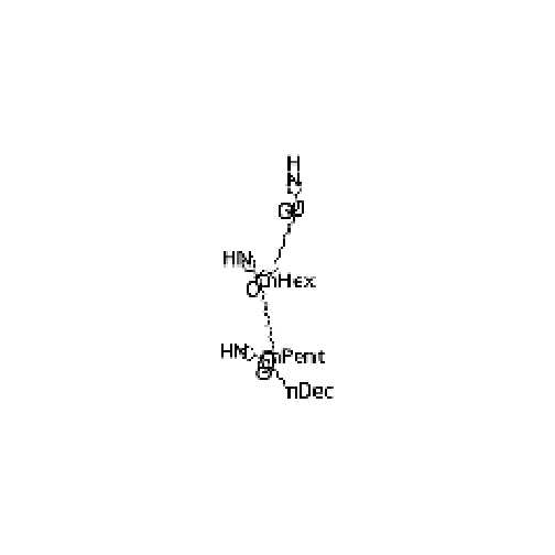 CCCCCCCCCCCCCCC(=O)OC(C)(CC(CCCCC)CCCCCCCCCC(=O)OC(C)(CC(CCCCCC)CCCCCCCCCC(=O)OC(C)(C)C1CCNCC1)C1CCNCC1)C1CCNCC1